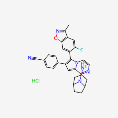 Cc1noc2cc(-c3c(-c4ccc(C#N)cc4)cc4c(N5C6CCC5CC(N)C6)nccn34)c(F)cc12.Cl